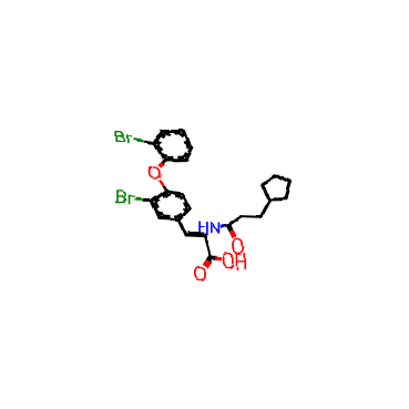 O=C(CCC1CCCC1)N/C(=C\c1ccc(Oc2ccccc2Br)c(Br)c1)C(=O)O